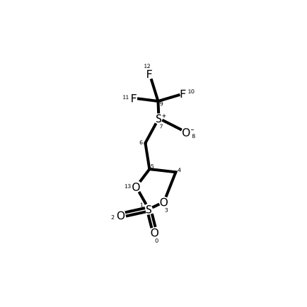 O=S1(=O)OCC(C[S+]([O-])C(F)(F)F)O1